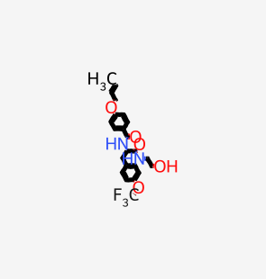 CC=CCOc1ccc(C(=O)NC(Cc2ccc(OC(F)(F)F)cc2)C(=O)NCCO)cc1